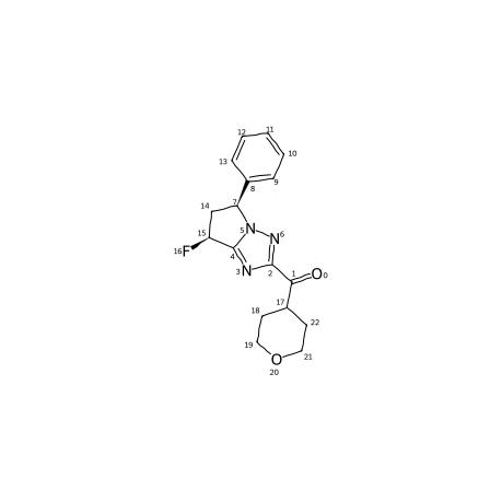 O=C(c1nc2n(n1)[C@H](c1ccccc1)C[C@@H]2F)C1CCOCC1